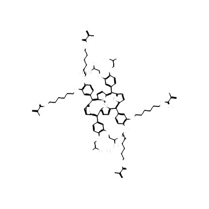 C=C(C)C(=O)OCCCCCCOc1ccc(-c2c3nc(c(-c4ccc(OCC(CC)CCCC)c(OCC(CC)CCCC)c4)c4ccc5c(-c6ccc(OCCCCCCOC(=O)C(=C)C)c(OCCCCCCOC(=O)C(=C)C)c6)c6nc(c(-c7ccc(OCC(CC)CCCC)c(OCC(CC)CCCC)c7)c7ccc2n7n54)C=C6)C=C3)cc1OCCCCCCOC(=O)C(=C)C